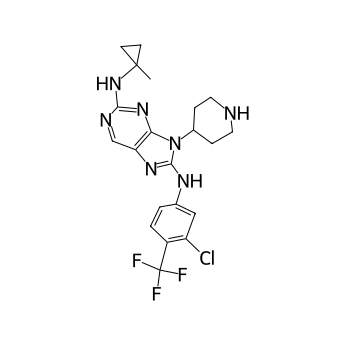 CC1(Nc2ncc3nc(Nc4ccc(C(F)(F)F)c(Cl)c4)n(C4CCNCC4)c3n2)CC1